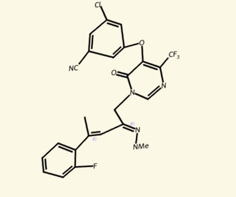 CN/N=C(\C=C(/C)c1ccccc1F)Cn1cnc(C(F)(F)F)c(Oc2cc(Cl)cc(C#N)c2)c1=O